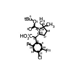 CC(C)(C)OC(=O)N1[C@H](C(C(=O)O)c2cc(F)c(Cl)cc2F)CCC1(C)C